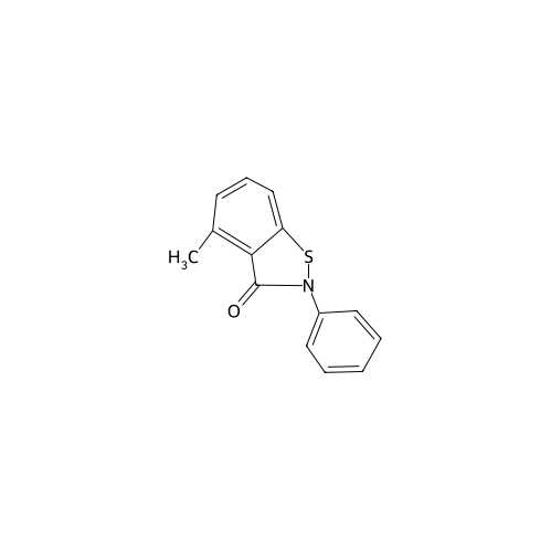 Cc1cccc2sn(-c3ccccc3)c(=O)c12